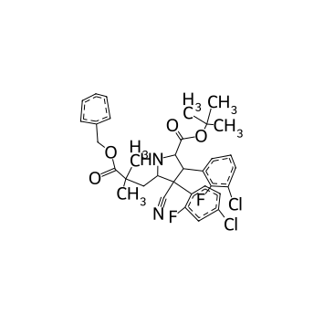 CC(C)(C)OC(=O)C1NC(CC(C)(C)C(=O)OCc2ccccc2)C(C#N)(c2ccc(Cl)cc2F)C1c1cccc(Cl)c1F